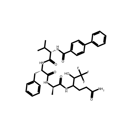 CC(C)[C@H](NC(=O)c1ccc(-c2ccccc2)cc1)C(=O)N[C@@H](Cc1ccccc1)C(=O)N[C@H](C)C(=O)NC(CCC(N)=O)C(O)C(F)(F)F